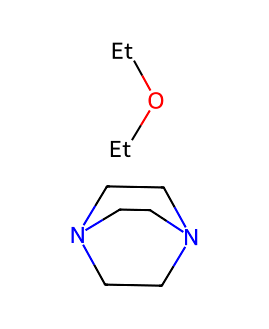 C1CN2CCN1CC2.CCOCC